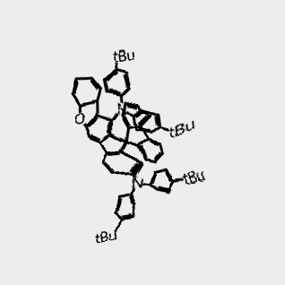 CC(C)(C)c1ccc(N(c2ccc(C(C)(C)C)cc2)c2ccc3c(c2)C2(c4ccccc4-c4ccccc42)c2c-3cc3c(c2N(c2ccc(C(C)(C)C)cc2)c2ccc(C(C)(C)C)cc2)C2C=CC=CC2O3)cc1